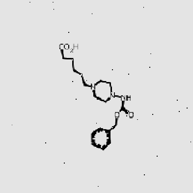 O=C(O)CCCCCN1CCN(NC(=O)OCc2ccccc2)CC1